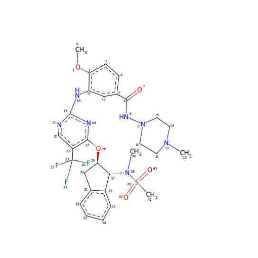 COc1ccc(C(=O)NN2CCN(C)CC2)cc1Nc1ncc(C(F)(F)F)c(O[C@@H]2Cc3ccccc3[C@H]2N(C)S(C)(=O)=O)n1